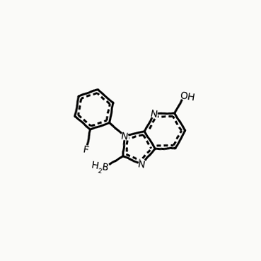 Bc1nc2ccc(O)nc2n1-c1ccccc1F